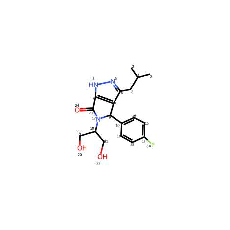 CC(C)Cc1n[nH]c2c1C(c1ccc(F)cc1)N(C(CO)CO)C2=O